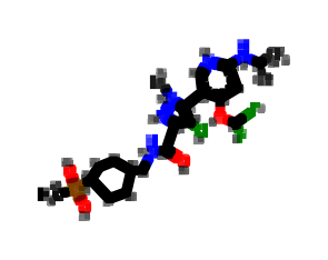 CC[C@@H](Nc1cc(OC(F)F)c(-c2c(Cl)c(C(=O)NCC3CCC(S(C)(=O)=O)CC3)nn2CC)cn1)C(F)(F)F